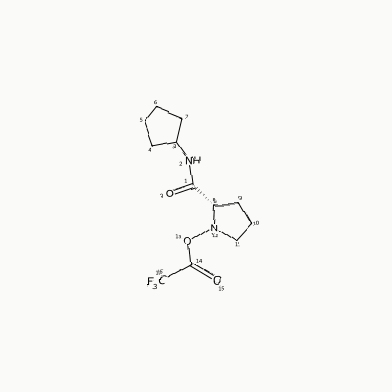 O=C(NC1CCCC1)[C@@H]1CCCN1OC(=O)C(F)(F)F